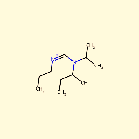 CCC/N=C\N(C(C)C)C(C)CC